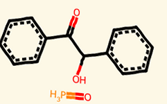 O=C(c1ccccc1)C(O)c1ccccc1.O=[PH3]